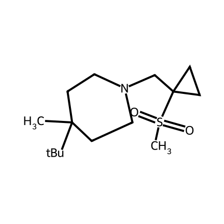 CC(C)(C)C1(C)CCN(CC2(S(C)(=O)=O)CC2)CC1